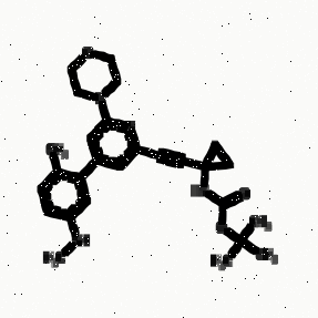 CNc1ccc(C)c(-c2cc(C#CC3(NC(=O)OC(C)(C)C)CC3)nc(N3CCOCC3)c2)c1